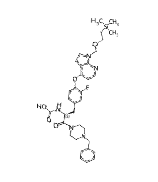 C[Si](C)(C)CCOCn1ccc2c(Oc3ccc(C[C@H](NC(=O)O)C(=O)N4CCN(Cc5ccccc5)CC4)cc3F)ccnc21